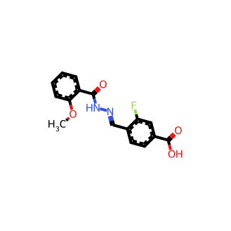 COc1ccccc1C(=O)NN=Cc1ccc(C(=O)O)cc1F